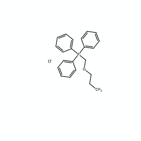 CCCOC[P+](c1ccccc1)(c1ccccc1)c1ccccc1.[Cl-]